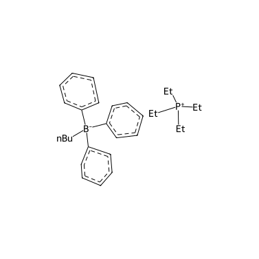 CCCC[B-](c1ccccc1)(c1ccccc1)c1ccccc1.CC[P+](CC)(CC)CC